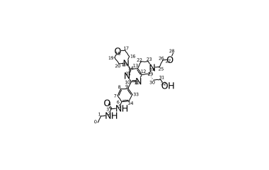 CCNC(=O)Nc1ccc(-c2nc3c(c(N4CCOCC4)n2)CCN(CCOC)[C@@H]3CCO)cc1